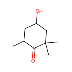 CC1CC(O)CC(C)(C)C1=O